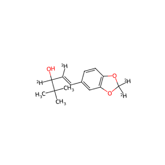 [2H]/C(=C\c1ccc2c(c1)OC([2H])([2H])O2)C([2H])(O)C(C)(C)C